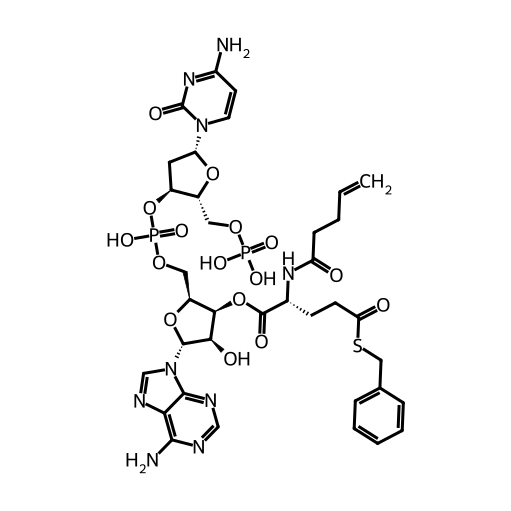 C=CCCC(=O)N[C@H](CCC(=O)SCc1ccccc1)C(=O)O[C@H]1[C@@H](O)[C@H](n2cnc3c(N)ncnc32)O[C@H]1COP(=O)(O)O[C@H]1C[C@H](n2ccc(N)nc2=O)O[C@@H]1COP(=O)(O)O